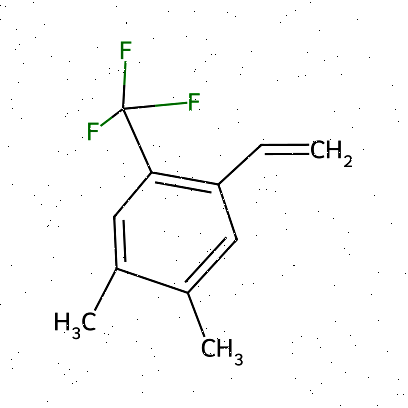 C=Cc1cc(C)c(C)cc1C(F)(F)F